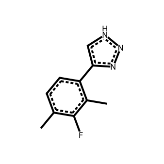 Cc1ccc(-c2c[nH]nn2)c(C)c1F